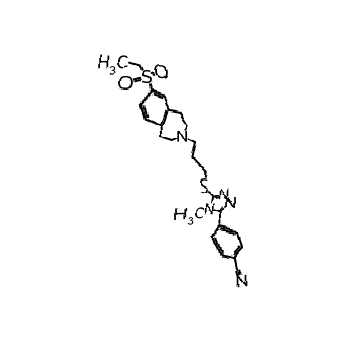 CCS(=O)(=O)c1ccc2c(c1)CCN(CCCSc1nnc(-c3ccc(C#N)cc3)n1C)CC2